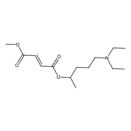 CCN(CC)CCCC(C)OC(=O)/C=C/C(=O)OC